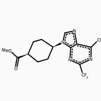 COC(=O)[C@H]1CC[C@@H](n2cnc3c(Cl)nc(C(F)(F)F)nc32)CC1